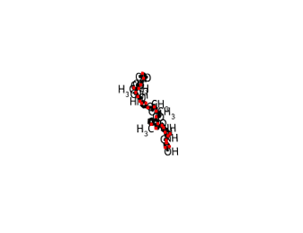 Cc1cccc2c(OC(=O)N(C)CCN(C)C(=O)OCc3ccc(NC(=O)CNC(=O)C(NC(=O)OCCN4C(=O)C=CC4=O)C(C)C)cc3)cc3c(c12)CCN3C(=O)c1cc2cc(NC(=O)c3ccc(O)cc3)cnc2[nH]1